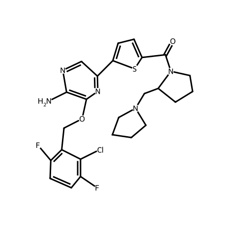 Nc1ncc(-c2ccc(C(=O)N3CCCC3CN3CCCC3)s2)nc1OCc1c(F)ccc(F)c1Cl